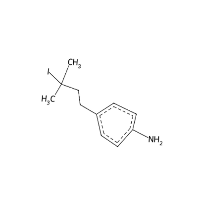 CC(C)(I)CCc1ccc(N)cc1